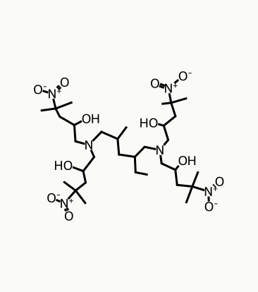 CCC(CC(C)CN(CC(O)CC(C)(C)[N+](=O)[O-])CC(O)CC(C)(C)[N+](=O)[O-])CN(CC(O)CC(C)(C)[N+](=O)[O-])CC(O)CC(C)(C)[N+](=O)[O-]